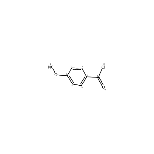 N#COc1ccc(C(=O)Cl)cc1